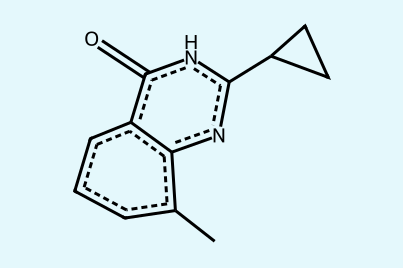 Cc1cccc2c(=O)[nH]c(C3CC3)nc12